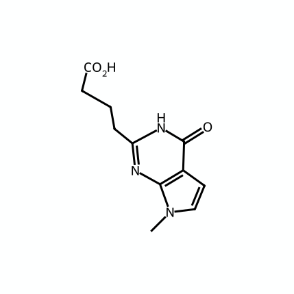 Cn1ccc2c(=O)[nH]c(CCCC(=O)O)nc21